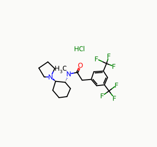 CN(C(=O)Cc1cc(C(F)(F)F)cc(C(F)(F)F)c1)[C@@H]1CCCC[C@H]1N1CCCC1.Cl